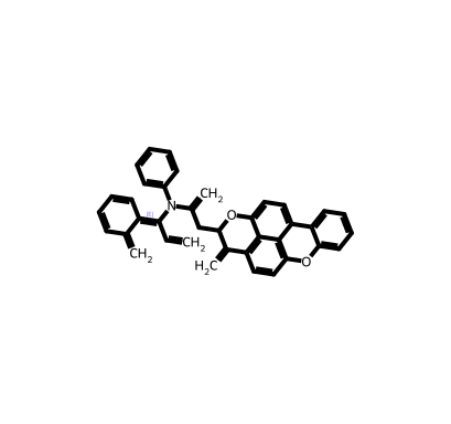 C=C/C(=c1/ccccc1=C)N(C(=C)CC1Oc2ccc3c4c(ccc(c24)C1=C)Oc1ccccc1-3)c1ccccc1